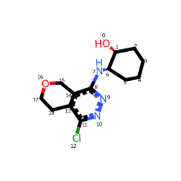 O[C@H]1CCCC[C@H]1Nc1nnc(Cl)c2c1COCC2